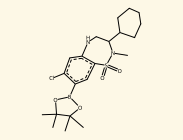 CN1C(C2CCCCC2)CNc2cc(Cl)c(B3OC(C)(C)C(C)(C)O3)cc2S1(=O)=O